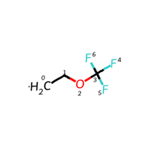 [CH2]COC(F)(F)F